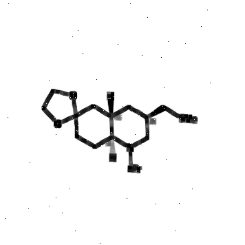 CCCN1C[C@H](CSC)C[C@H]2CC3(CC[C@@H]21)OCCO3